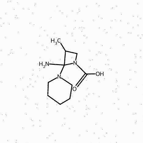 CC1CN(C(=O)O)C1(N)N1CCCCC1